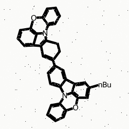 CCCCc1cc2c3c(c1)c1cc(C4=Cc5c(n6c7c(cccc57)Oc5ccccc5-6)CC4)ccc1n3-c1ccccc1O2